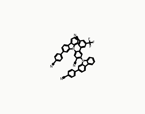 N#Cc1ccc(-c2ccc3c4ccccc4n(-c4cc(-c5cc(C#N)cc(C(F)(F)F)c5)c(-n5c6ccccc6c6ccc(-c7ccc(C#N)cc7)cc65)cc4C#N)c3c2)cc1